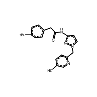 CC(C)(C)c1ccc(CC(=O)Nc2ccn(Cc3ccc(C#N)cn3)n2)cc1